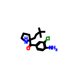 CC(C)(C)CCC1(C(=O)c2ccc(N)c(Cl)c2)CCCN1